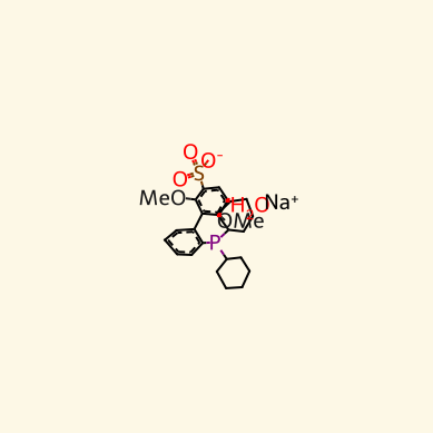 COc1ccc(S(=O)(=O)[O-])c(OC)c1-c1ccccc1P(C1CCCCC1)C1CCCCC1.O.[Na+]